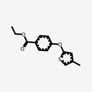 CCOC(=O)c1ccc(Oc2cc(C)cs2)cc1